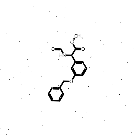 COC(=O)C(NC=O)c1cccc(OCc2ccccc2)c1